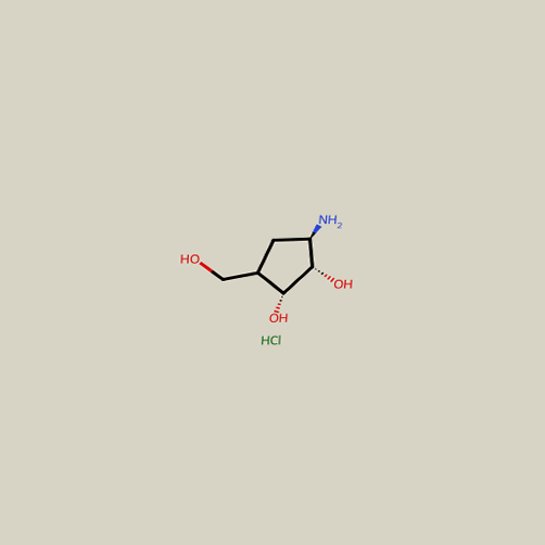 Cl.N[C@@H]1CC(CO)[C@@H](O)[C@H]1O